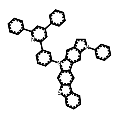 c1ccc(-c2cc(-c3ccccc3)nc(-c3cccc(-n4c5cc6ccn(-c7ccccc7)c6cc5c5cc6c(cc54)sc4ccccc46)c3)c2)cc1